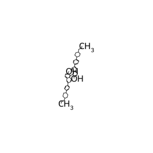 CCCC1CCC(c2ccc(-c3ccc4c(-c5c(O)ccc6cc(-c7ccc(C8CCC(CCC)CC8)cc7)ccc56)c(O)ccc4c3)cc2)CC1